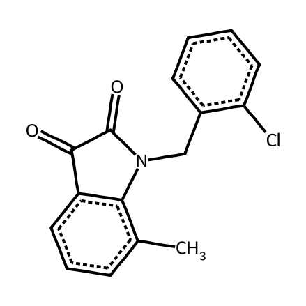 Cc1cccc2c1N(Cc1ccccc1Cl)C(=O)C2=O